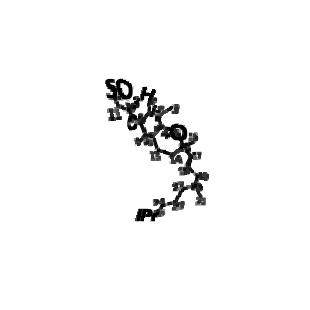 Cc1c(C)c2c(c(C)c1OCCS(=O)(=O)O)CCC(C)(C=CCC(C)CCCC(C)C)O2